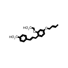 C/C=C/COc1ccc(C/C=C/c2ccc(C(=O)O)cc2)c(OCC(=O)O)c1